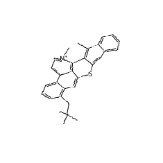 Cc1c2c(cc3ccccc13)Sc1cc3c(CC(C)(C)C)cccc3c3cc[n+](C)c-2c13